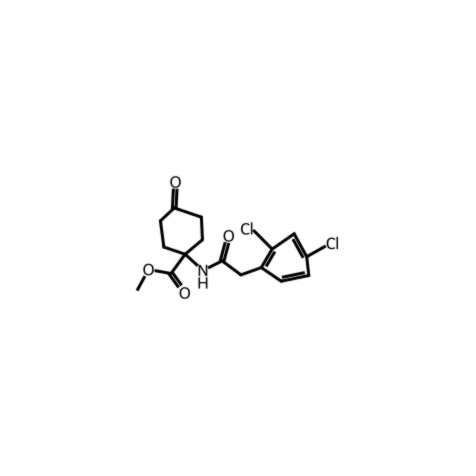 COC(=O)C1(NC(=O)Cc2ccc(Cl)cc2Cl)CCC(=O)CC1